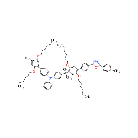 CCCCCCOc1cc(-c2ccc(N(c3ccccc3)c3ccc(C(C)(C)c4cc(OCCCCCC)c(-c5ccc(-c6nnc(-c7ccc(C)cc7)o6)cc5)cc4OCCCCCC)cc3)cc2)c(OCCCCCC)cc1C